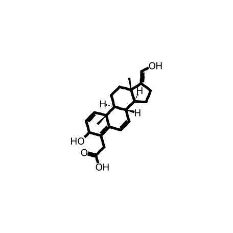 C[C@]12C=CC(O)C(CC(=O)O)=C1C=C[C@@H]1[C@@H]2CC[C@]2(C)C(=CO)CC[C@@H]12